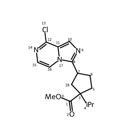 COC(=O)C1(C(C)C)CCC(c2ncc3c(Cl)nccn23)C1